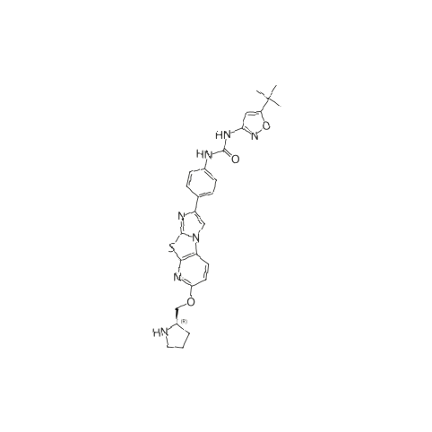 CC(C)(C)c1cc(NC(=O)Nc2ccc(-c3cn4c(n3)sc3nc(OC[C@H]5CCCN5)ccc34)cc2)no1